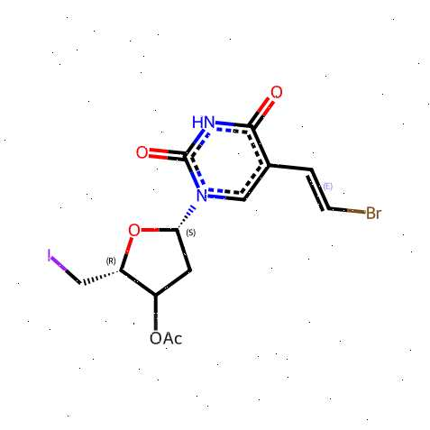 CC(=O)OC1C[C@@H](n2cc(/C=C/Br)c(=O)[nH]c2=O)O[C@H]1CI